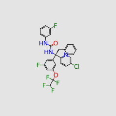 O=C(Nc1cccc(F)c1)N[C@@](Cc1ccccc1)(c1cc(F)cc(OC(F)(F)C(F)F)c1)c1ccc(Cl)cn1